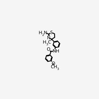 COc1cccc(C(=O)Nc2cccc(C3(C)CCSC(N)=N3)c2)c1